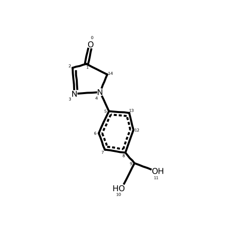 O=C1C=NN(c2ccc(C(O)O)cc2)C1